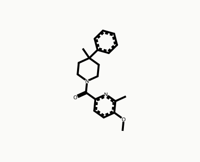 COc1ccc(C(=O)N2CCC(C)(c3ccccc3)CC2)nc1C